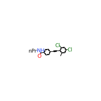 CCCNC(=O)c1ccc(C#Cc2c(C)cc(Cl)cc2Cl)cc1